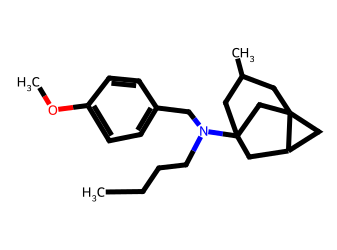 CCCCN(Cc1ccc(OC)cc1)C12CC(C)CC3(CC3C1)C2